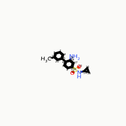 Cc1cccc(-c2ccc(S(=O)(=O)NC3CC3)cc2N)c1